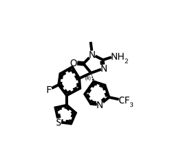 CN1C(=O)[C@](c2ccnc(C(F)(F)F)c2)(c2ccc(F)c(-c3ccsc3)c2)N=C1N